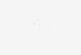 CCOC(=O)C1CNc2cc(NOO)ccc2O1